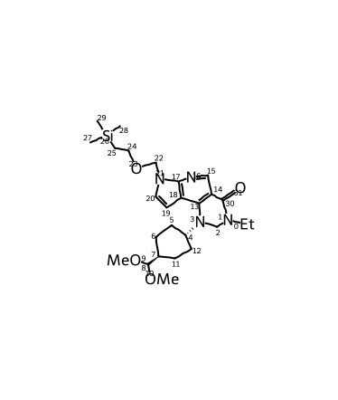 CCN1CN([C@H]2CC[C@H](C(OC)OC)CC2)c2c(cnc3c2ccn3COCC[Si](C)(C)C)C1=O